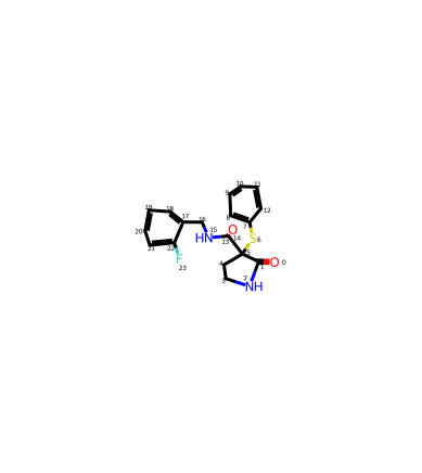 O=C1NCCC1(Sc1ccccc1)C(=O)NCc1ccccc1F